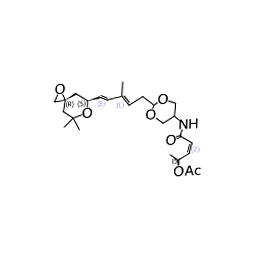 CC(=O)O[C@@H](C)/C=C\C(=O)NC1COC(C/C=C(C)/C=C/[C@@H]2C[C@]3(CO3)CC(C)(C)O2)OC1